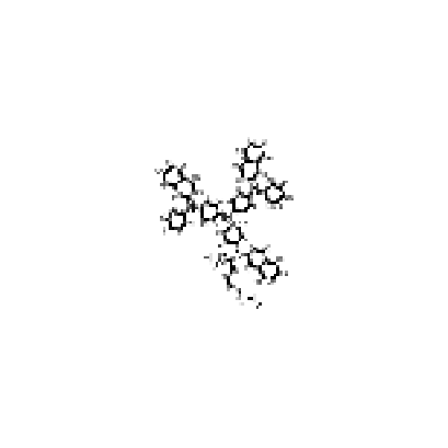 C=C/C=C\C=C(/C)N(c1ccc(N(c2ccc(N(c3ccccc3)c3ccc4ccccc4c3)cc2)c2ccc(N(c3ccccc3)c3ccc4ccccc4c3)cc2)cc1)c1ccc2ccccc2c1